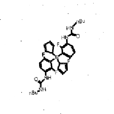 CCCCNC(=O)Nc1ccc(F)[c]([Ti]([c]2c(F)ccc(NC(=O)NCCCC)c2F)([CH]2C=CC=C2)[CH]2C=CC=C2)c1F